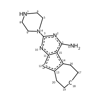 Nc1nc(N2CCNCC2)nc2sc3c(c12)CCCCC3